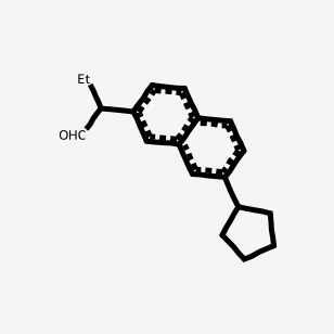 CCC(C=O)c1ccc2ccc(C3CCCC3)cc2c1